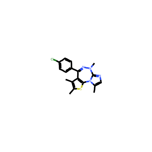 Cc1sc2c(c1C)C(c1ccc(Cl)cc1)=NN(C)c1ncc(C)n1-2